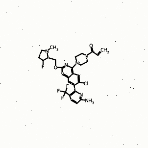 C=CC(=O)N1CCN(c2nc(OCC3C(F)CCN3C)nc3cc(-c4nc(N)ccc4C(F)(F)F)c(Cl)cc23)CC1